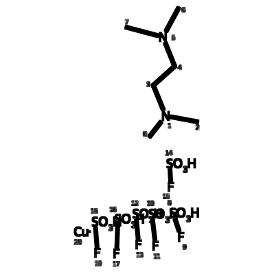 CN(C)CCN(C)C.O=S(=O)(O)F.O=S(=O)(O)F.O=S(=O)(O)F.O=S(=O)(O)F.O=S(=O)(O)F.O=S(=O)(O)F.[Cu]